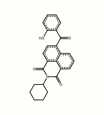 O=C(c1ccccc1O)c1ccc2c3c(cccc13)C(=O)N(C1CCCCC1)C2=O